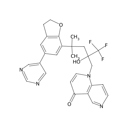 CC(C)(CC(O)(Cn1ccc(=O)c2cnccc21)C(F)(F)F)c1cc(-c2cncnc2)cc2c1OCC2